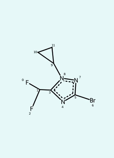 FC(F)c1nc(Br)nn1C1CC1